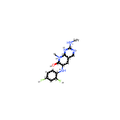 CC(C)Nc1ncc2cc(Nc3ccc(F)cc3F)c(=O)n(C)c2n1